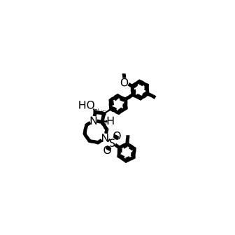 COc1ccc(C)cc1-c1ccc([C@@H]2[C@@H](O)N3CCCCN(S(=O)(=O)c4ccccc4C)C[C@@H]23)cc1